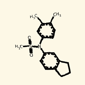 Cc1ccc(N(c2ccc3c(c2)CCC3)S(C)(=O)=O)cc1C